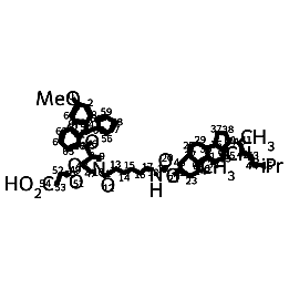 COc1ccc(C(OCC2CN(C(=O)CCCCCNC(=O)OC3CC[C@@]4(C)C(=CCC5C4CC[C@@]4(C)C5CC[C@@H]4C(C)CCCC(C)C)C3)CC2OC(=O)CCC(=O)O)(c2ccccc2)c2ccccc2)cc1